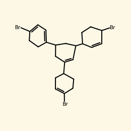 BrC1=CC=C(C2CC(C3CC=C(Br)CC3)=CC(C3C=CC(Br)CC3)C2)CC1